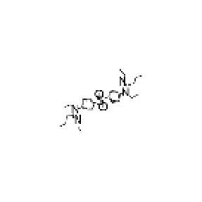 CCCC(=NCC)N(CC)c1ccc(S(=O)(=O)c2ccc(N(CC)C(CCC)=NCC)cc2)cc1